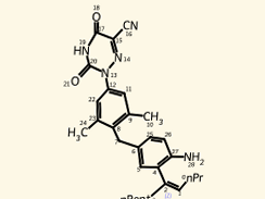 CCC/C=C(/CCCCC)c1cc(Cc2c(C)cc(-n3nc(C#N)c(=O)[nH]c3=O)cc2C)ccc1N